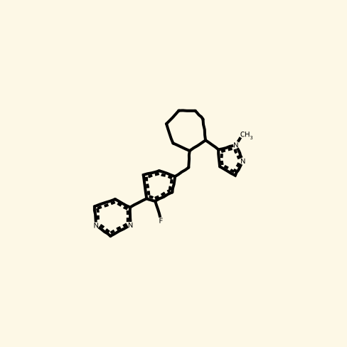 Cn1nccc1C1CCCCCC1Cc1ccc(-c2ccncn2)c(F)c1